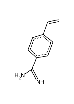 C=Cc1ccc(C(=N)N)cc1